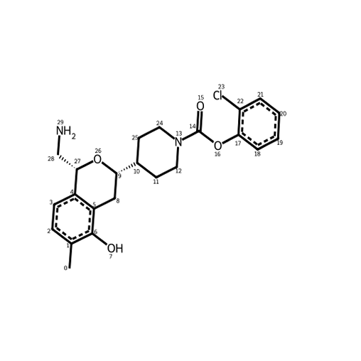 Cc1ccc2c(c1O)C[C@@H](C1CCN(C(=O)Oc3ccccc3Cl)CC1)O[C@H]2CN